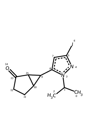 CC(C)n1nc(I)cc1C1C2CCC(=O)C21